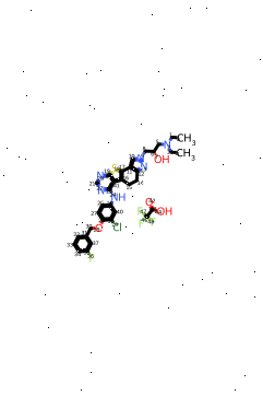 CCN(CC)C[C@@H](O)Cn1cc2c(n1)CCc1c-2sc2ncnc(Nc3ccc(OCc4cccc(F)c4)c(Cl)c3)c12.O=C(O)C(F)(F)F